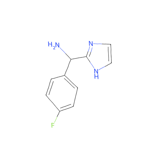 NC(c1ccc(F)cc1)c1ncc[nH]1